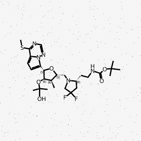 CSc1ncnn2c([C@@H]3O[C@H](CN4CC(F)(F)C[C@H]4CCNC(=O)OC(C)(C)C)[C@@H](C)[C@H]3OC(C)(C)O)ccc12